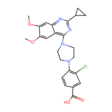 COc1cc2nc(C3CC3)nc(N3CCN(c4ccc(C(=O)O)cc4Cl)CC3)c2cc1OC